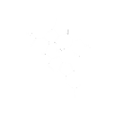 CC[C@@H](Nc1nc(Nc2ccc3c(cnn3CC(F)F)c2)c(C(N)=O)cc1F)[C@H](C)N